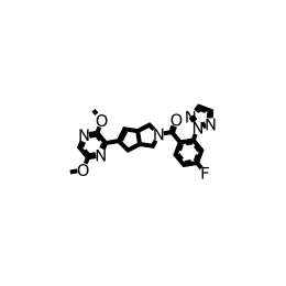 COc1cnc(OC)c(C2=CC3CN(C(=O)c4ccc(F)cc4-n4nccn4)CC3C2)n1